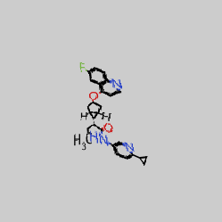 CCC(C(=O)Nc1ccc(C2CC2)nc1)[C@@H]1[C@@H]2C[C@@H](Oc3ccnc4ccc(F)cc34)C[C@@H]21